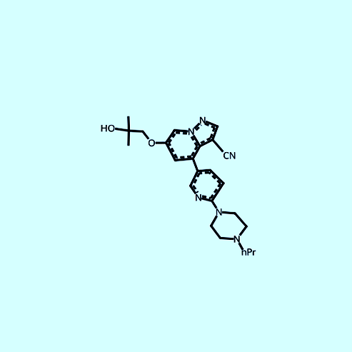 CCCN1CCN(c2ccc(-c3cc(OCC(C)(C)O)cn4ncc(C#N)c34)cn2)CC1